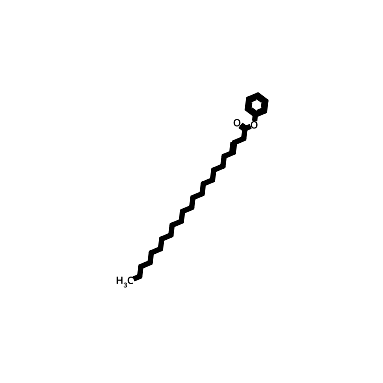 CCCCCCCCCCCCCCCCCCCC=CCC(=O)Oc1ccccc1